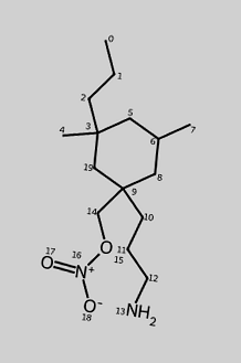 CCCC1(C)CC(C)CC(CCCN)(CO[N+](=O)[O-])C1